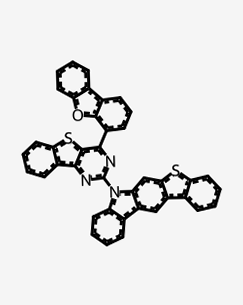 c1ccc2c(c1)oc1c(-c3nc(-n4c5ccccc5c5cc6c(cc54)sc4ccccc46)nc4c3sc3ccccc34)cccc12